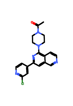 CC(=O)N1CCN(c2nc(-c3ccnc(Cl)c3)cc3cnccc23)CC1